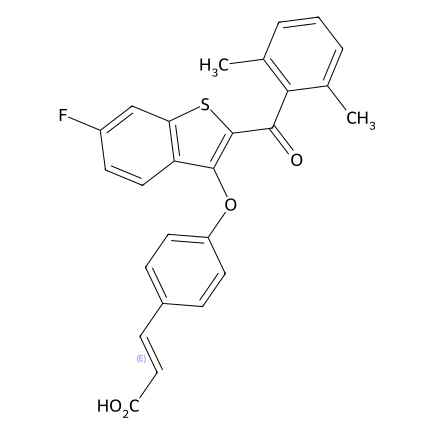 Cc1cccc(C)c1C(=O)c1sc2cc(F)ccc2c1Oc1ccc(/C=C/C(=O)O)cc1